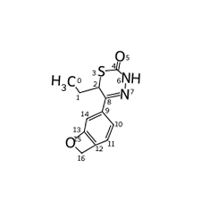 CCC1SC(=O)NN=C1c1ccc2c(c1)OC2